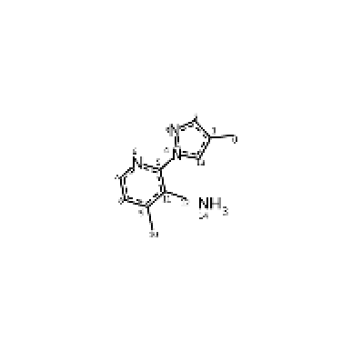 Cc1cnn(-c2nccc(C)c2C)c1.N